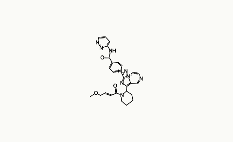 COC/C=C/C(=O)N1CCCCC1C1=C2C=NC=C[N+]2(N)C(c2ccc(C(=O)Nc3cccnn3)cc2)=N1